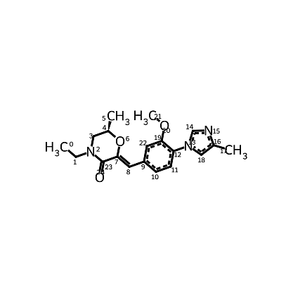 CCN1C[C@@H](C)O/C(=C\c2ccc(-n3cnc(C)c3)c(OC)c2)C1=O